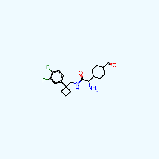 NC(C(=O)NCC1(c2ccc(F)c(F)c2)CCC1)C1CCC(C=O)CC1